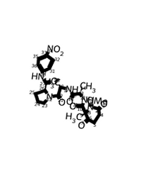 CON1C(=O)CCC(=O)[C@]1(C)C(=O)N[C@@H](C)C(=O)N[C@@H](C)C(=O)N1CCC[C@H]1C(=O)Nc1ccc([N+](=O)[O-])cc1